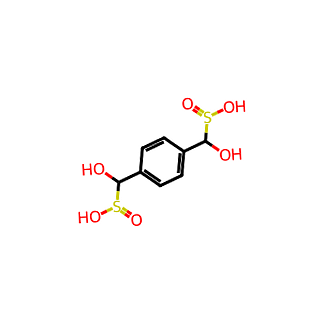 O=S(O)C(O)c1ccc(C(O)S(=O)O)cc1